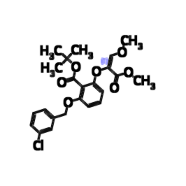 CO/C=C(/Oc1cccc(OCc2cccc(Cl)c2)c1C(=O)OC(C)(C)C)C(=O)OC